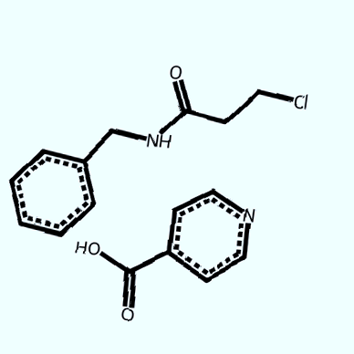 O=C(CCCl)NCc1ccccc1.O=C(O)c1ccncc1